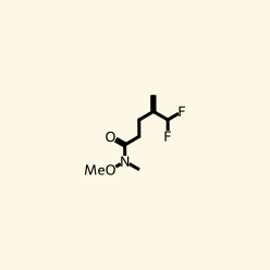 C=C(CCC(=O)N(C)OC)C(F)F